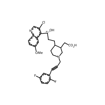 COc1ccc2ncc(Cl)c([C@H](O)CCC3CCN(CC#Cc4cc(F)ccc4F)CC3CC(=O)O)c2c1